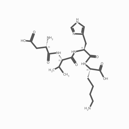 CC(C)[C@H](NC(=O)[C@@H](N)CC(=O)O)C(=O)N[C@@H](Cc1c[nH]cn1)C(=O)N[C@@H](CCCCN)C(=O)O